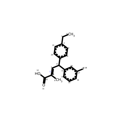 CCc1ccc(C(/C=C(\C)C(=O)O)c2cccc(F)c2)cc1